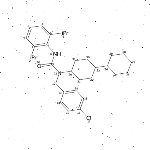 CC(C)c1cccc(C(C)C)c1NC(=O)N(Cc1ccc(Cl)cc1)C1CCC(C2CCCCC2)CC1